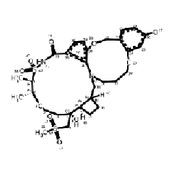 C[C@@H]1[C@@H](C)CCC[C@@](O)(CS(C)(=O)=O)[C@@H]2CC[C@H]2CN2CCCCc3cc(Cl)ccc3COc3ccc(cc32)C(=O)NS1(=O)=O